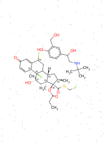 CC(C)(C)NCC(O)c1ccc(O)c(CO)c1.CCC(=O)O[C@]1(C(=O)SCF)[C@H](C)C[C@H]2C3C[C@H](F)C4=CC(=O)C=C[C@]4(C)[C@@]3(F)[C@@H](O)C[C@@]21C